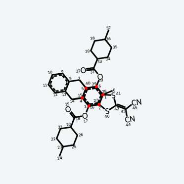 Cc1ccc2c(c1)C1c3ccccc3C2c2c(OC(=O)C3CCC(C)CC3)c3c(c(OC(=O)C4CCC(C)CC4)c21)SC(=C(C#N)C#N)S3